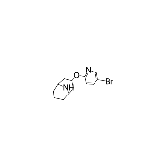 Brc1ccc(OC2CC3CCCC(C2)N3)nc1